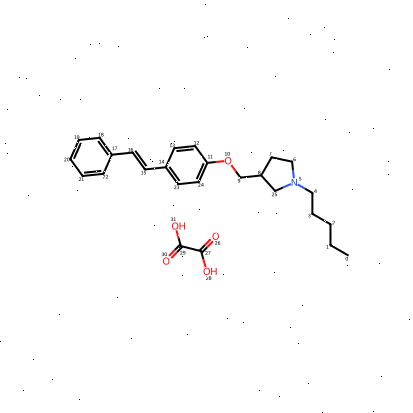 CCCCCN1CCC(COc2ccc(C=Cc3ccccc3)cc2)C1.O=C(O)C(=O)O